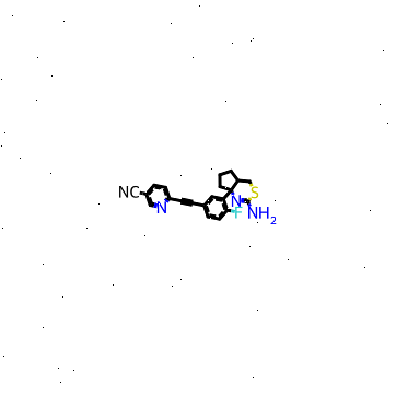 N#Cc1ccc(C#Cc2ccc(F)c(C34CCCC3CSC(N)=N4)c2)nc1